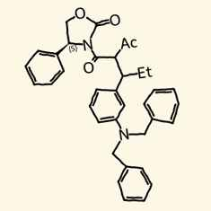 CCC(c1cccc(N(Cc2ccccc2)Cc2ccccc2)c1)C(C(C)=O)C(=O)N1C(=O)OC[C@@H]1c1ccccc1